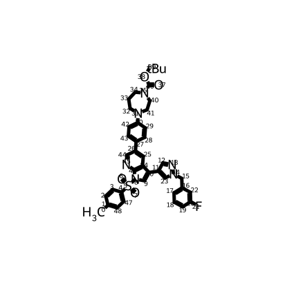 Cc1ccc(S(=O)(=O)n2cc(-c3cnn(Cc4cccc(F)c4)c3)c3cc(-c4ccc(N5CCCN(C(=O)OC(C)(C)C)CC5)cc4)cnc32)cc1